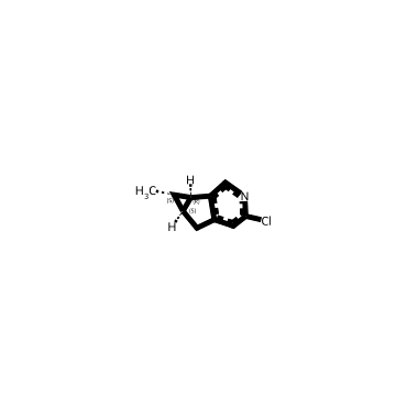 C[C@H]1[C@@H]2Cc3cc(Cl)ncc3[C@H]12